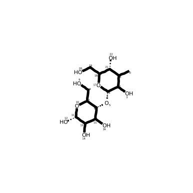 CC1C(O)[C@H](O[C@H]2C(CO)O[C@@H](O)C(O)C2O)OC(CO)[C@@H]1O